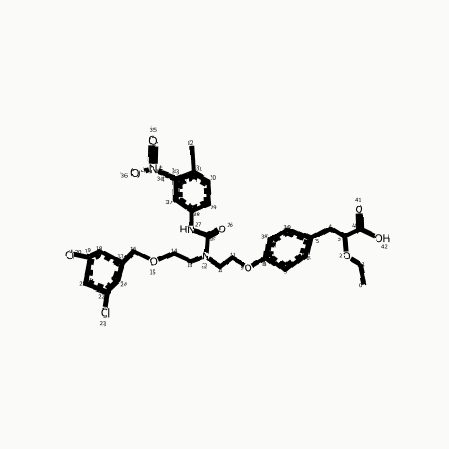 CCOC(Cc1ccc(OCCN(CCOCc2cc(Cl)cc(Cl)c2)C(=O)Nc2ccc(C)c([N+](=O)[O-])c2)cc1)C(=O)O